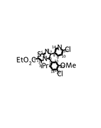 CCOC(=O)C1=C(C(C)C)N2C(=NC(c3ccc(Cl)nc3)C2c2ccc(Cl)c(OC)c2)S1